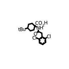 CC(C)(C)C1CCC(NC(=O)Cc2c(Cl)cccc2Cl)(C(=O)O)CC1